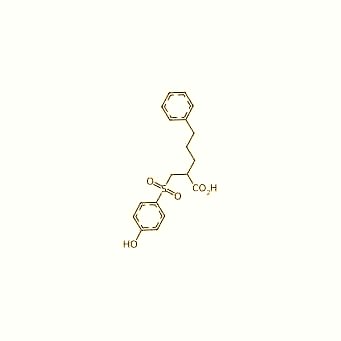 O=C(O)C(CCCc1ccccc1)CS(=O)(=O)c1ccc(O)cc1